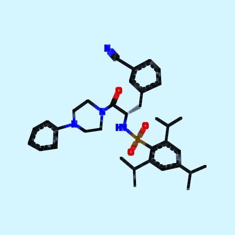 CC(C)c1cc(C(C)C)c(S(=O)(=O)N[C@@H](Cc2cccc(C#N)c2)C(=O)N2CCN(c3ccccc3)CC2)c(C(C)C)c1